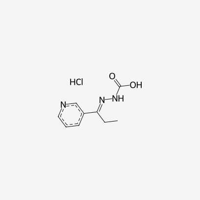 CCC(=NNC(=O)O)c1cccnc1.Cl